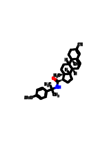 COc1ccc(C(C)(C)NC(=O)[C@H]2CC[C@H]3[C@@H]4CC=C5C=C(C#N)CC[C@]5(C)[C@H]4CC[C@]23C)cc1